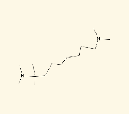 CN(C)CCCCCCCC(C)(C)N(C)C